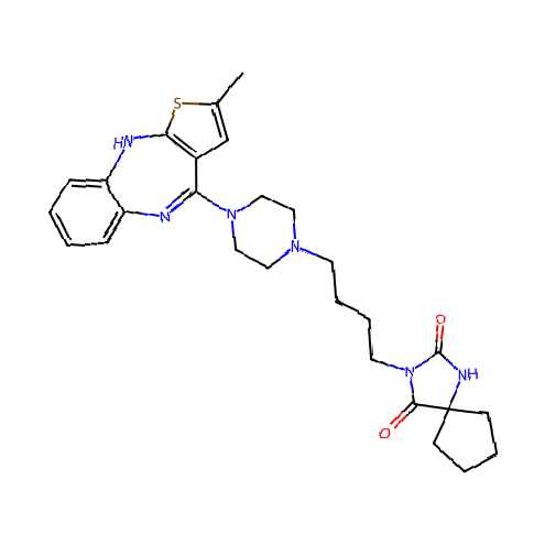 Cc1cc2c(s1)Nc1ccccc1N=C2N1CCN(CCCCN2C(=O)NC3(CCCC3)C2=O)CC1